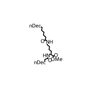 CCCCCCCCCCCCCCCC(=O)NCCCCC(NC(=O)CCCCCCCCCCC)C(=O)OC